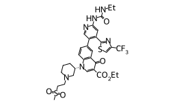 CCNC(=O)Nc1cc(-c2nc(C(F)(F)F)cs2)c(-c2ccc3c(c2)c(=O)c(C(=O)OCC)cn3[C@H]2CCCN(CCS(C)(=O)=O)C2)cn1